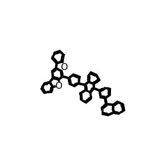 c1cc(-c2cccc3ccccc23)cc(-c2c3ccccc3c(-c3ccc(-c4c5oc6ccccc6c5cc5c4oc4ccccc45)cc3)c3ccccc23)c1